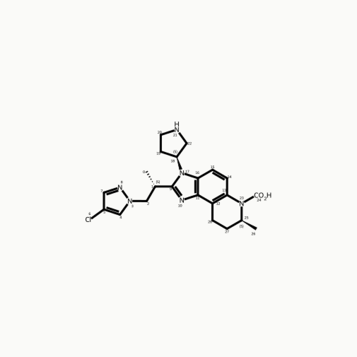 C[C@@H](Cn1cc(Cl)cn1)c1nc2c3c(ccc2n1[C@H]1CCNC1)N(C(=O)O)[C@@H](C)CC3